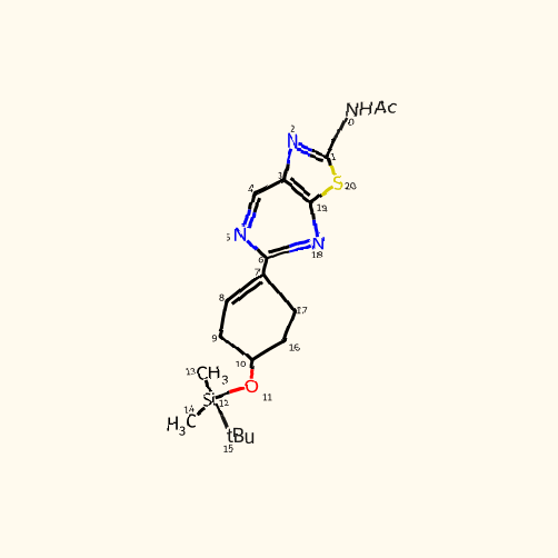 CC(=O)Nc1nc2cnc(C3=CCC(O[Si](C)(C)C(C)(C)C)CC3)nc2s1